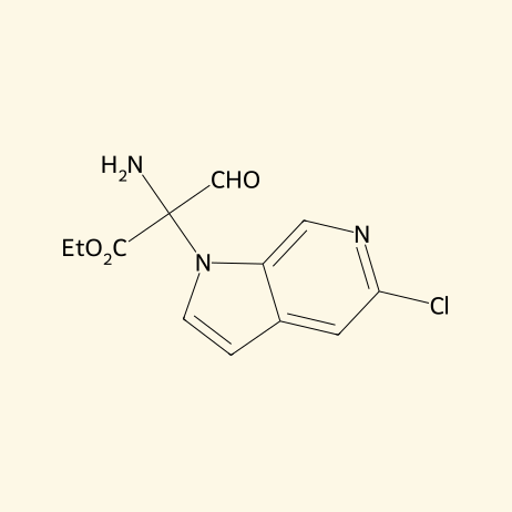 CCOC(=O)C(N)(C=O)n1ccc2cc(Cl)ncc21